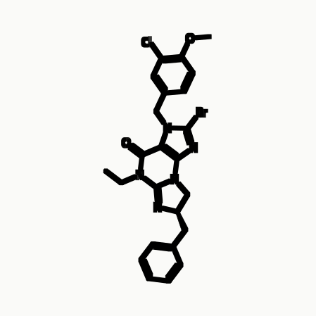 CCN1C(=O)c2c(nc(Br)n2Cc2ccc(OC)c(Cl)c2)N2C[C@@H](Cc3ccccc3)N=C12